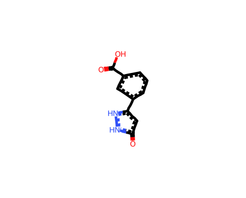 O=C(O)c1cccc(-c2cc(=O)[nH][nH]2)c1